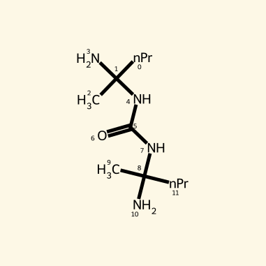 CCCC(C)(N)NC(=O)NC(C)(N)CCC